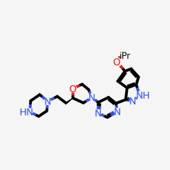 CC(C)Oc1ccc2[nH]nc(-c3cc(N4CCO[C@H](CCN5CCNCC5)C4)ncn3)c2c1